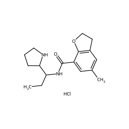 CCC(NC(=O)c1cc(C)cc2c1OCC2)C1CCCN1.Cl